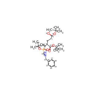 CC(C)(C)OC(=O)CCC(CP(=O)(CNCc1ccccc1)OC(C)(C)C)C(=O)OC(C)(C)C